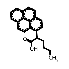 CCCCC(C(=O)O)c1ccc2ccc3cccc4ccc1c2c34